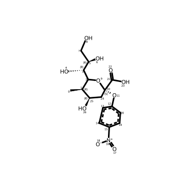 C[C@H]1C([C@H](O)[C@H](O)CO)O[C@@](Oc2ccc([N+](=O)[O-])cc2)(C(=O)O)C[C@H]1O